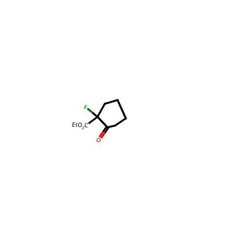 CCOC(=O)C1(F)CCCCC1=O